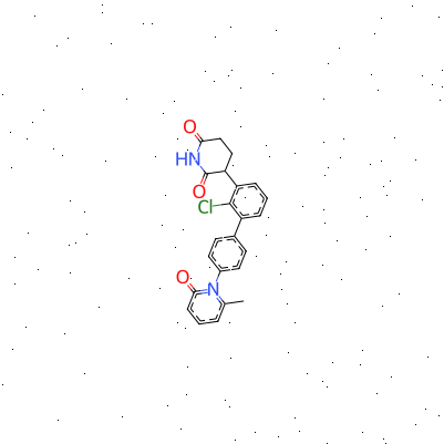 Cc1cccc(=O)n1-c1ccc(-c2cccc(C3CCC(=O)NC3=O)c2Cl)cc1